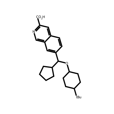 CC(C)(C)C1CCC(OC(c2ccc3cc(C(=O)O)ncc3c2)C2CCCC2)CC1